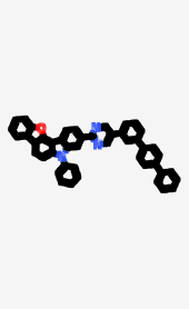 c1ccc(-c2ccc(-c3cccc(-c4cnc(-c5ccc6c7c8oc9ccccc9c8ccc7n(-c7ccccc7)c6c5)nc4)c3)cc2)cc1